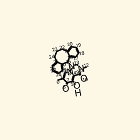 Cc1cn2c(c(O)c1=O)C(=O)N(C)CN2C1c2ccccc2CCCc2ccccc21